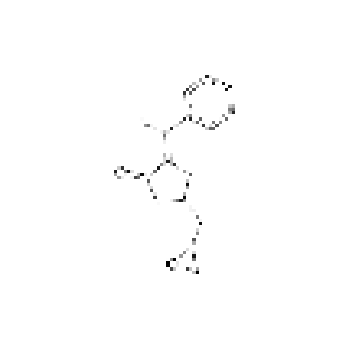 C[C@H](c1ccccc1)N1C[C@H](CC2CO2)CC1=O